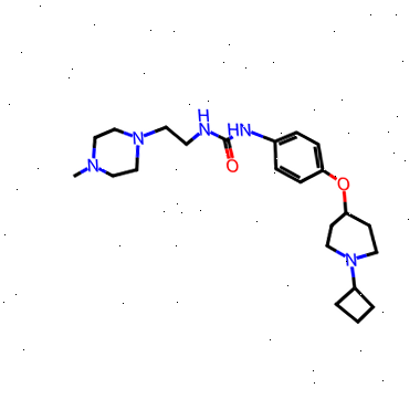 CN1CCN(CCNC(=O)Nc2ccc(OC3CCN(C4CCC4)CC3)cc2)CC1